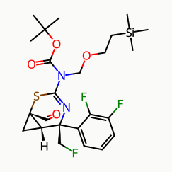 CC(C)(C)OC(=O)N(COCC[Si](C)(C)C)C1=N[C@](CF)(c2cccc(F)c2F)[C@@H]2C[C@]2(C=O)S1